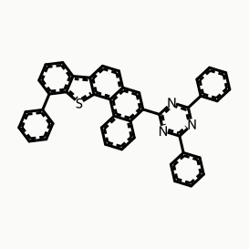 c1ccc(-c2nc(-c3ccccc3)nc(-c3cc4ccc5c6cccc(-c7ccccc7)c6sc5c4c4ccccc34)n2)cc1